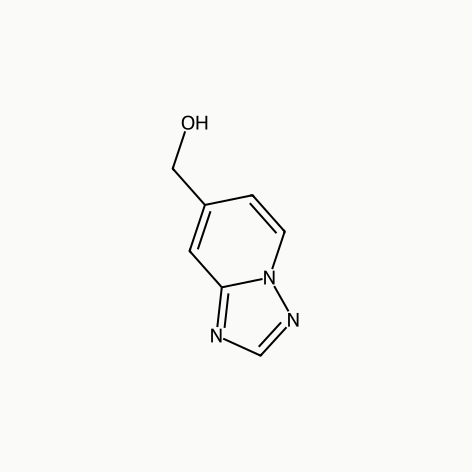 OCc1ccn2ncnc2c1